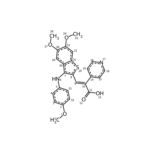 COc1ccc(Nc2c(/C=C(/C(=O)O)c3ccncc3)sc3cc(OC)c(OC)cc23)cc1